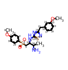 COc1ccc(S(=O)(=O)CC(Nc2nc(Cc3cccc(OC)c3)ns2)C(C)N)cc1